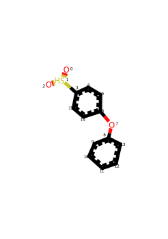 O=[SH](=O)c1ccc(Oc2ccccc2)cc1